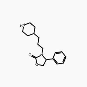 O=C1OCC(c2ccccc2)N1CCCC1CCNCC1